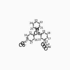 [C]=O.[C]=O.[C]=O.[C]=O.[Co].c1cc[c]([GeH]([c]2ccccc2)[c]2ccccc2)cc1